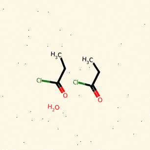 CCC(=O)Cl.CCC(=O)Cl.O